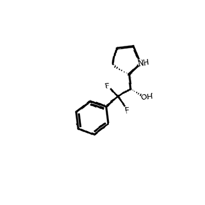 O[C@@H]([C@@H]1CCCN1)C(F)(F)c1ccccc1